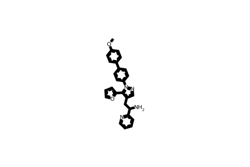 COc1ccc(-c2ccc(-n3ncc(CC(N)c4ccccn4)c3-c3ccco3)cc2)cc1